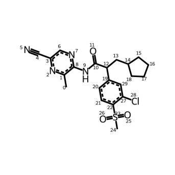 Cc1nc(C#N)cnc1NC(=O)C(CC1CCCC1)c1ccc(S(C)(=O)=O)c(Cl)c1